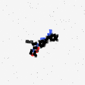 COCCN(C(=O)CN1CCOC(C)C1=O)c1ccc2cc(-c3n[nH]c4c3CCC(C)(C)C4)[nH]c2c1